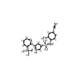 N#Cc1ccc(NS(=O)(=O)c2c[nH]c(-c3ncccc3C(F)(F)F)c2)c(F)c1